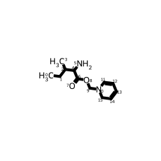 CCC(C)C(N)C(=O)OCN1C=CC=CC1